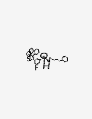 COc1ccccc1-n1c(-c2cc(F)cc(C(=O)NCCCCc3ccccc3)c2)csc1=O